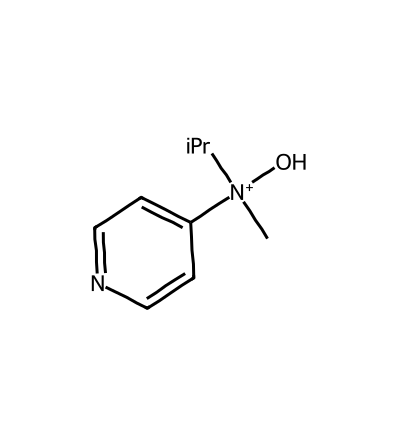 CC(C)[N+](C)(O)c1ccncc1